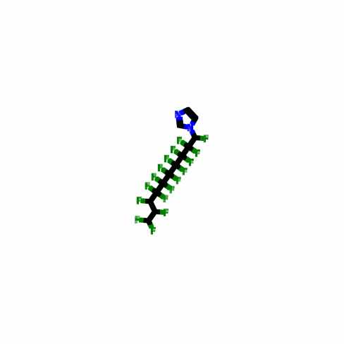 FC(F)C(F)C(F)C(F)(F)C(F)(F)C(F)(F)C(F)(F)C(F)(F)C(F)(F)C(F)n1ccnc1